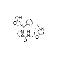 Nc1nccc2oc(CNC(=O)[C@@H]3CCCN3C[C@H](NCC(=O)O)c3ccccc3)cc12